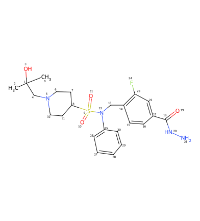 CC(C)(O)CN1CCC(S(=O)(=O)N(Cc2ccc(C(=O)NN)cc2F)c2ccccc2)CC1